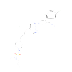 CCCNS(=O)(=O)N1CCC(CCOc2cnc(N3C[C@H](c4cc(F)c(F)cc4F)[C@@H](N)C3)nc2)CC1.Cl